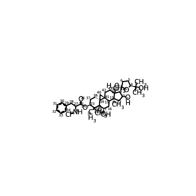 CC(C)(O)[C@@H]1CC[C@](C)([C@H]2[C@@H](O)C[C@@]3(C)C4C[C@H](O)[C@H]5C(C)(C)[C@@H](OC(=O)C(Cc6ccccc6)NCl)CC[C@@]56C[C@@]46CC[C@]23C)O1